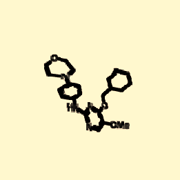 COc1cnc(Nc2ccc(N3CCOCC3)cc2)nc1OCC1CCCCC1